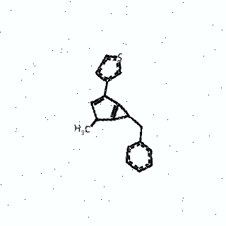 CC1[C]=C(c2ccsc2)C2=C1C2Cc1ccccc1